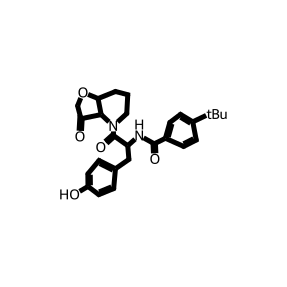 CC(C)(C)c1ccc(C(=O)NC(Cc2ccc(O)cc2)C(=O)N2CCCC3OCC(=O)C32)cc1